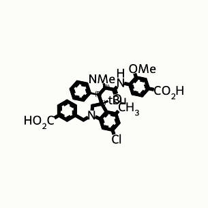 CN[C@@H](C(=O)Nc1ccc(C(=O)O)cc1OC)[C@H](c1ccccc1)[C@@]1(C(C)(C)C)CN(Cc2cccc(C(=O)O)c2)c2cc(Cl)cc(C)c21